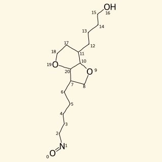 O=NCCCCCC1COC2C(CCCCO)CCOC12